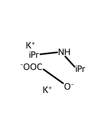 CC(C)NC(C)C.O=C([O-])[O-].[K+].[K+]